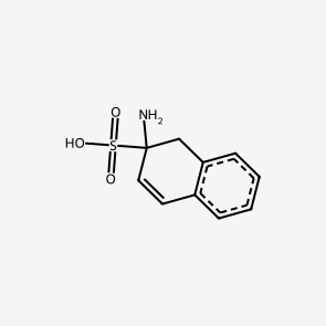 NC1(S(=O)(=O)O)C=Cc2ccccc2C1